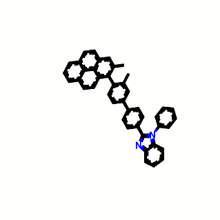 Cc1cc(-c2ccc(-c3nc4ccccc4n3-c3ccccc3)cc2)ccc1-c1c(C)cc2ccc3cccc4ccc1c2c34